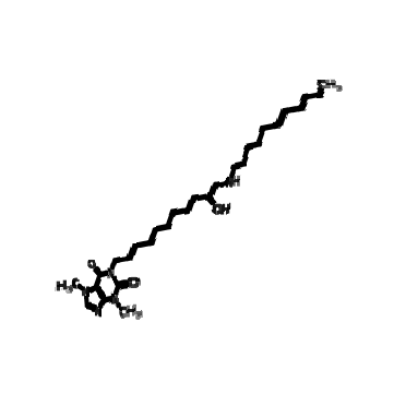 CCCCCCCCCCCNCC(O)CCCCCCCCCn1c(=O)c2c(ncn2C)n(C)c1=O